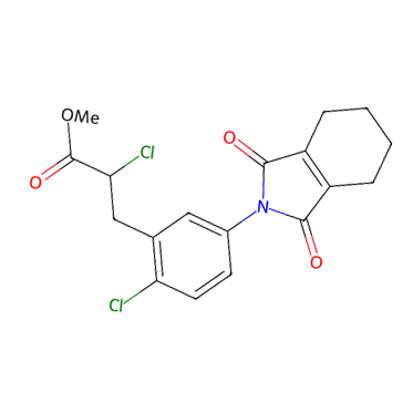 COC(=O)C(Cl)Cc1cc(N2C(=O)C3=C(CCCC3)C2=O)ccc1Cl